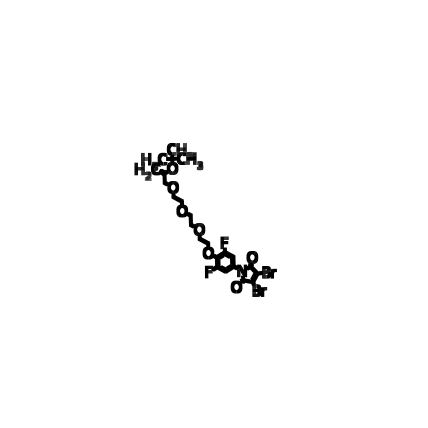 C=C(COCCOCCOCCOc1c(F)cc(N2C(=O)C(Br)=C(Br)C2=O)cc1F)OC(C)(C)C